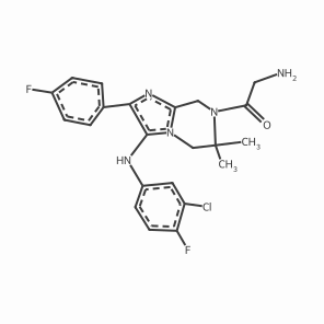 CC1(C)Cn2c(nc(-c3ccc(F)cc3)c2Nc2ccc(F)c(Cl)c2)CN1C(=O)CN